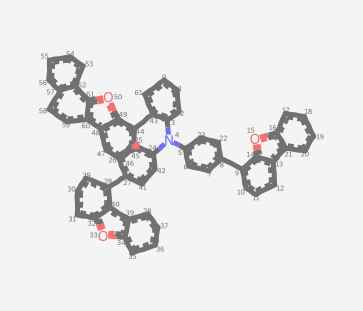 c1ccc(N(c2ccc(-c3cccc4c3oc3ccccc34)cc2)c2ccc(-c3cccc4oc5ccccc5c34)cc2)c(-c2cccc3c2oc2c4ccccc4ccc32)c1